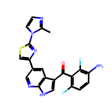 Cc1nccn1-c1nc(-c2cnc3[nH]cc(C(=O)c4c(F)ccc(N)c4F)c3c2)cs1